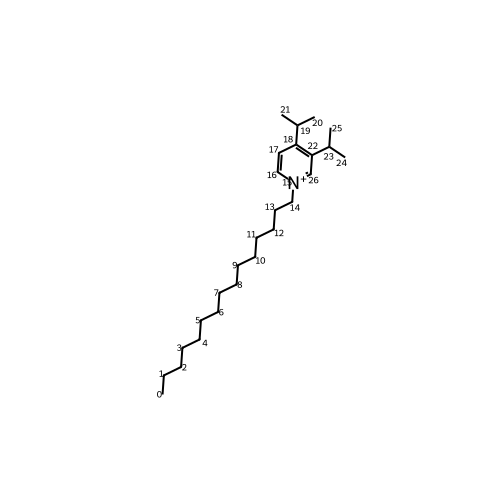 CCCCCCCCCCCCCCC[n+]1ccc(C(C)C)c(C(C)C)c1